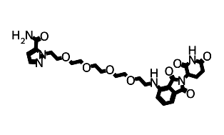 NC(=O)c1ccnn1CCOCCOCCOCCOCCNc1cccc2c1C(=O)N(C1CCC(=O)NC1=O)C2=O